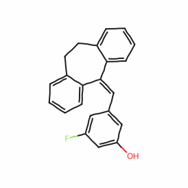 Oc1cc(F)cc(C=C2c3ccccc3CCc3ccccc32)c1